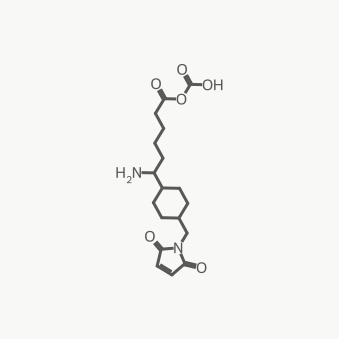 NC(CCCCC(=O)OC(=O)O)C1CCC(CN2C(=O)C=CC2=O)CC1